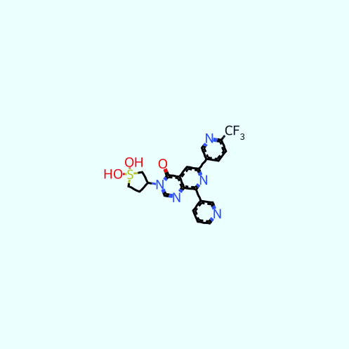 O=c1c2cc(-c3ccc(C(F)(F)F)nc3)nc(-c3cccnc3)c2ncn1C1CCS(O)(O)C1